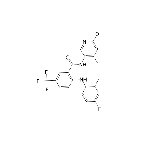 COc1cc(C)c(NC(=O)c2cc(C(F)(F)F)ccc2Nc2ccc(F)cc2C)cn1